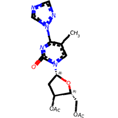 CC(=O)OC[C@H]1O[C@@H](n2cc(C)c(-n3cncn3)nc2=O)CC1OC(C)=O